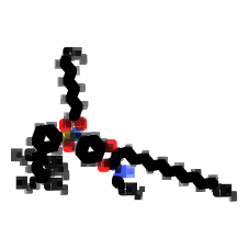 [CH2]CNC(=O)C(CCCCCCCCCCCC)Oc1cccc(N(OCCCCCCCC)S(=O)(=O)c2cccc(C(C)(C)CC(C)(C)C)c2)c1